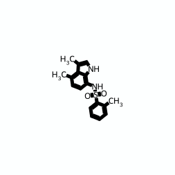 Cc1ccccc1S(=O)(=O)Nc1ccc(C)c2c(C)c[nH]c12